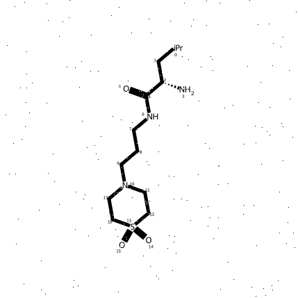 CC(C)C[C@H](N)C(=O)NCCCN1CCS(=O)(=O)CC1